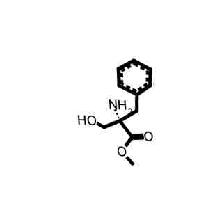 COC(=O)[C@@](N)(CO)Cc1ccccc1